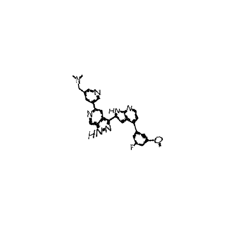 COc1cc(F)cc(-c2ccnc3[nH]c(-c4n[nH]c5cnc(-c6cncc(CN(C)C)c6)cc45)cc23)c1